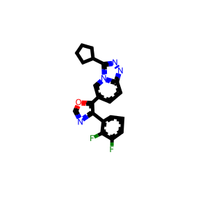 Fc1cccc(-c2ncoc2-c2ccc3nnc(C4CCCC4)n3c2)c1F